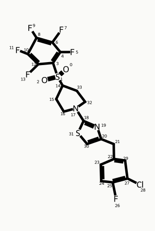 O=S(=O)(c1c(F)c(F)c(F)c(F)c1F)C1CCN(c2nc(Cc3ccc(F)c(Cl)c3)cs2)CC1